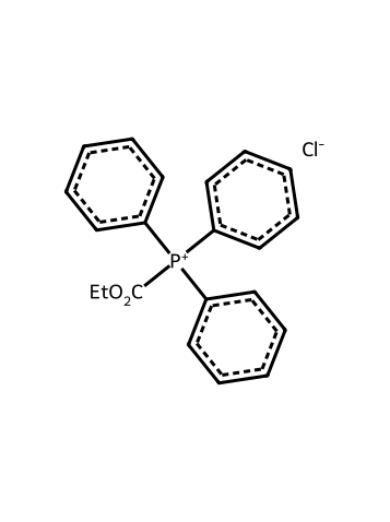 CCOC(=O)[P+](c1ccccc1)(c1ccccc1)c1ccccc1.[Cl-]